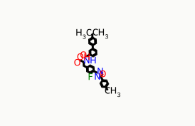 Cc1ccc(-c2nc(-c3ccc(CC(NC(=O)c4cccc(-c5ccc(C(C)C)cc5)c4)C(=O)O)cc3F)no2)cc1